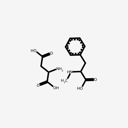 CNC(Cc1ccccc1)C(=O)O.NC(CC(=O)O)C(=O)O